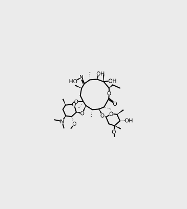 CC[C@H]1OC(=O)[C@H](C)[C@@H](O[C@H]2C[C@@](C)(OC)[C@@H](O)[C@H](C)O2)[C@H](C)[C@@H](O[C@@H]2O[C@H](C)C[C@H](N(C)C)[C@H]2OC)[C@@](C)(OC)C[C@@H](C)/C(=N\O)[C@H](C)[C@@H](O)[C@]1(C)O